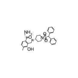 Cc1ccc2c(c1O)C[C@@H](C1CCN(S(=O)(=O)C(c3ccccc3)c3ccccc3)CC1)O[C@H]2CN